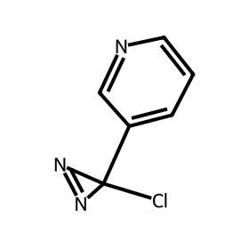 ClC1(c2cccnc2)N=N1